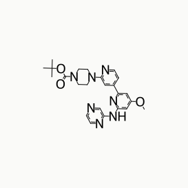 COc1cc(Nc2cnccn2)nc(-c2ccnc(N3CCN(C(=O)OC(C)(C)C)CC3)c2)c1